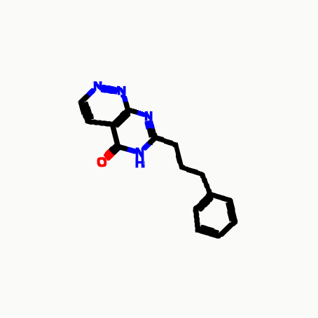 O=c1[nH]c(CCCc2ccccc2)nc2nnccc12